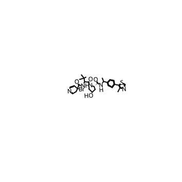 Cc1ncsc1-c1ccc(C(C)NC(=O)[C@@H]2C[C@@H](O)CN2C(=O)C(NC(=O)C2(Br)C=CN=CC2)C(C)(C)C)cc1